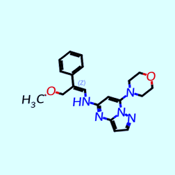 COC/C(=C\Nc1cc(N2CCOCC2)n2nccc2n1)c1ccccc1